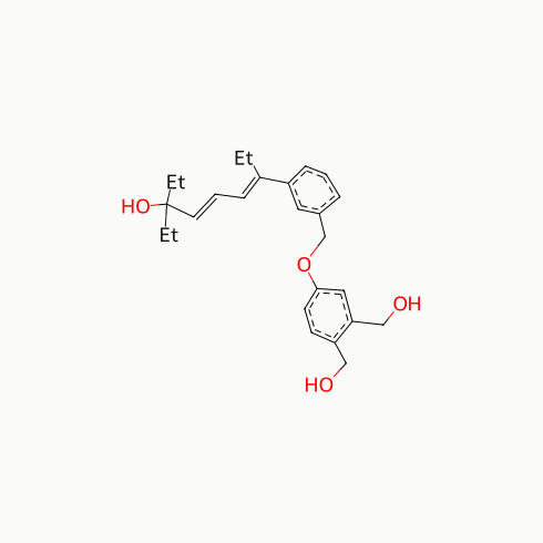 CCC(=CC=CC(O)(CC)CC)c1cccc(COc2ccc(CO)c(CO)c2)c1